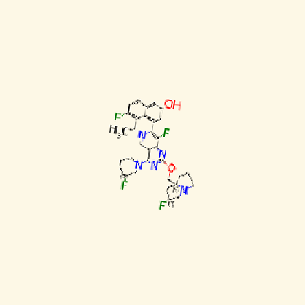 CCc1c(F)ccc2cc(O)cc(-c3ncc4c(N5CCC[C@@H](F)C5)nc(OC[C@@]56CCCN5C[C@H](F)C6)nc4c3F)c12